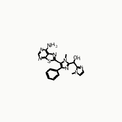 Cn1ccnc1C(O)c1nc(-c2ccccc2)c(-c2nc3c(N)ncnc3s2)n1C